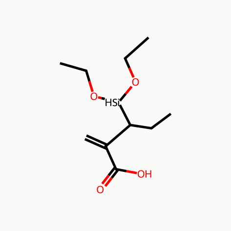 C=C(C(=O)O)C(CC)[SiH](OCC)OCC